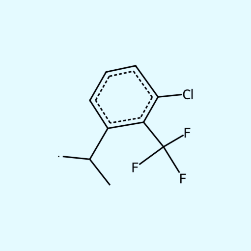 [CH2]C(C)c1cccc(Cl)c1C(F)(F)F